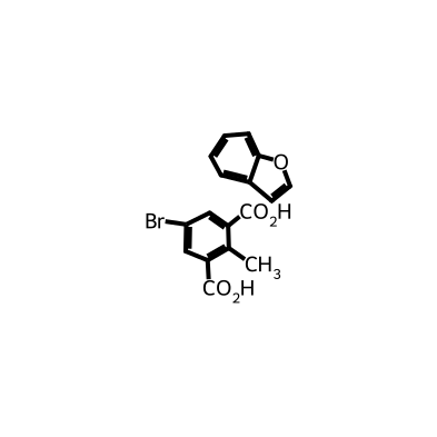 Cc1c(C(=O)O)cc(Br)cc1C(=O)O.c1ccc2occc2c1